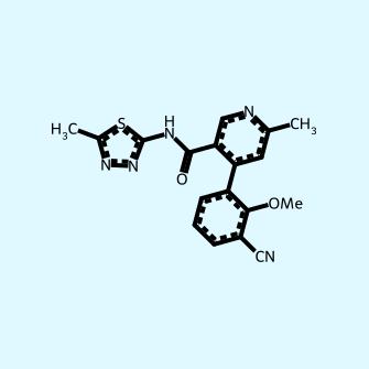 COc1c(C#N)cccc1-c1cc(C)ncc1C(=O)Nc1nnc(C)s1